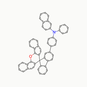 c1ccc(N(c2ccc(-c3ccc4c(c3)C3(c5ccccc5-4)c4ccc5ccccc5c4Oc4c3ccc3ccccc43)cc2)c2ccc3ccccc3c2)cc1